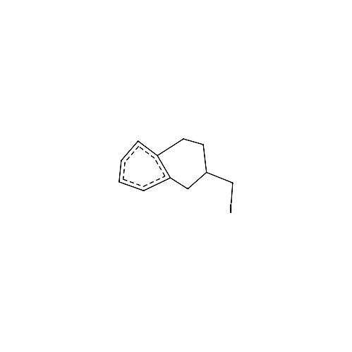 ICC1CCc2ccccc2C1